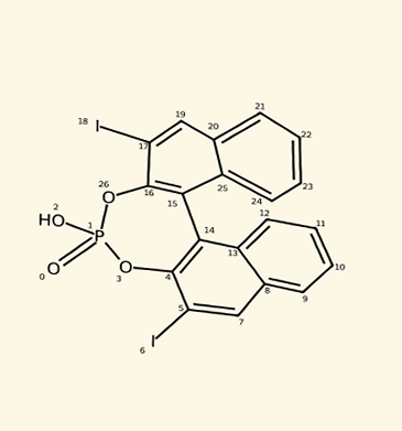 O=P1(O)Oc2c(I)cc3ccccc3c2-c2c(c(I)cc3ccccc23)O1